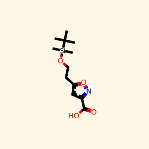 CC(C)(C)[Si](C)(C)OCCc1cc(C(=O)O)no1